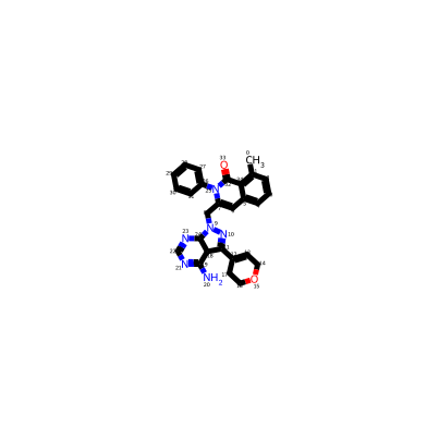 Cc1cccc2cc(CN3N=C(C4=CCOCC4)C4C(N)=NC=NC43)n(-c3ccccc3)c(=O)c12